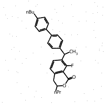 CCCCc1ccc(-c2ccc(C(C)c3ccc4c(c3F)C(=O)OC(CCC)C4)cc2)cc1